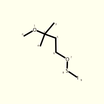 COC(C)(C)CCOSI